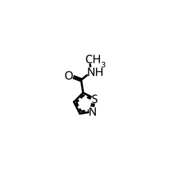 CNC(=O)c1ccns1